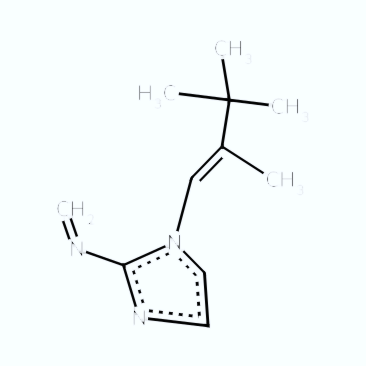 C=Nc1nccn1/C=C(\C)C(C)(C)C